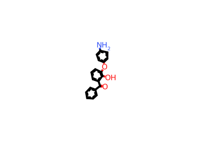 Nc1ccc(Oc2cccc(C(=O)c3ccccc3)c2O)cc1